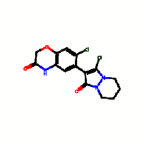 O=C1COc2cc(Cl)c(-c3c(Cl)n4n(c3=O)CCCC4)cc2N1